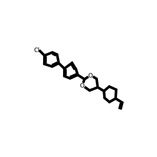 C=CC1CCC(C2COC(c3ccc(-c4ccc(Cl)cc4)cc3)OC2)CC1